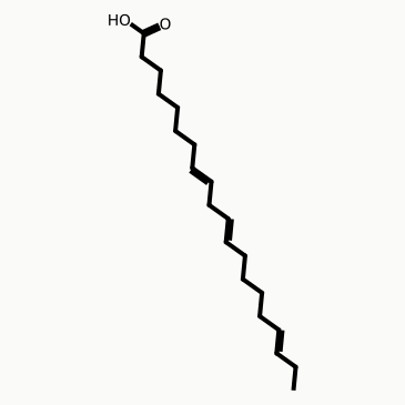 CC/C=C/CCCC/C=C/C/C=C/CCCCCCC(=O)O